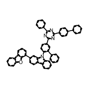 c1ccc(-c2ccc(-c3nc(-c4ccccc4)nc(-c4ccc(-n5c6ccccc6c6ccc(-c7cccc8c7oc7ccccc78)cc65)c(-c5ccccc5)c4)n3)cc2)cc1